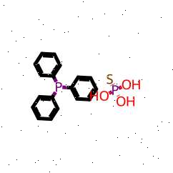 OP(O)(O)=S.c1ccc(P(c2ccccc2)c2ccccc2)cc1